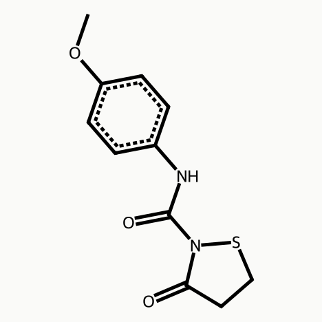 COc1ccc(NC(=O)N2SCCC2=O)cc1